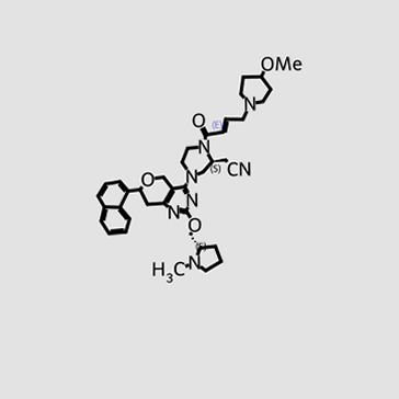 COC1CCN(C/C=C/C(=O)N2CCN(c3nc(OC[C@@H]4CCCN4C)nc4c3COC(c3cccc5ccccc35)C4)C[C@@H]2CC#N)CC1